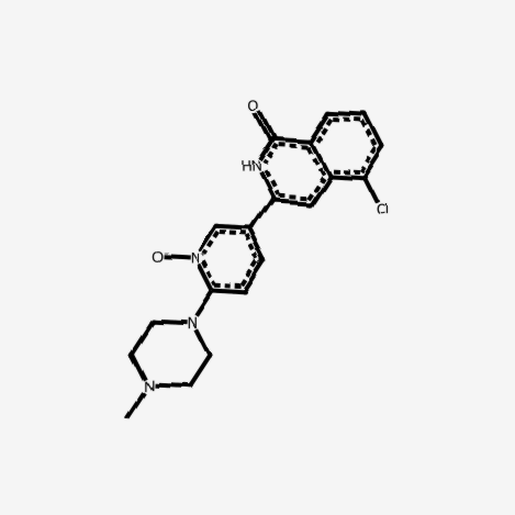 CN1CCN(c2ccc(-c3cc4c(Cl)cccc4c(=O)[nH]3)c[n+]2[O-])CC1